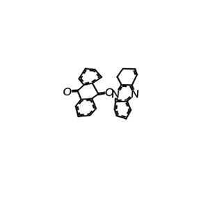 C1=Cc2nc3ccccc3nc2CC1.O=C1c2ccccc2C(=O)c2ccccc21